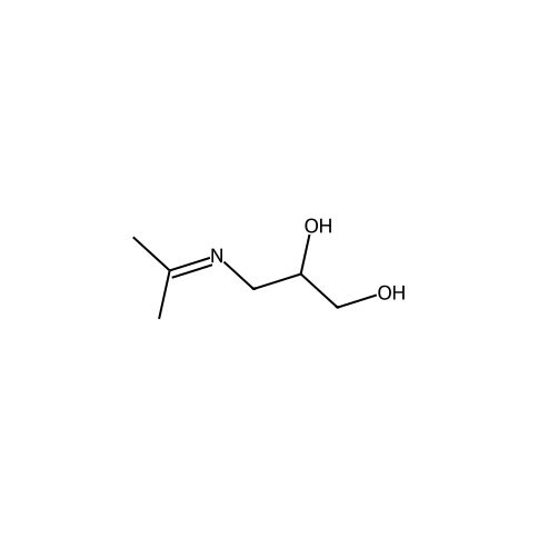 CC(C)=NCC(O)CO